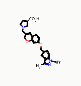 Cc1nn(C(C)C)c2ccc(COc3ccc4c(c3)OCC(CN3CC[C@@H](C(=O)O)C3)=C4)cc12